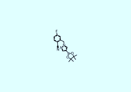 CC1(C)OB(c2cnn(Cc3cc(F)ccc3C#N)c2)OC1(C)C